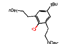 CCCCCCCCCCCCc1cc(C(C)(C)C)cc(CCCCCCCCCCCC)c1[O]